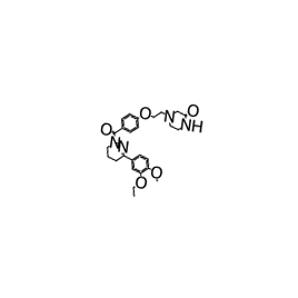 CCOc1cc(C2=NN(C(=O)c3ccc(OCCN4CCNC(=O)C4)cc3)CCC2)ccc1OC